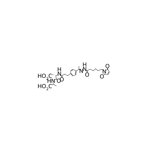 C/C(=N\NC(=O)CCCCCN1C(=O)C=CC1=O)c1ccc(CCC(=O)N[C@@H](CC(=O)O)C(=O)N[C@@H](C)C(=O)O)cc1